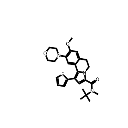 COc1cc2c(cc1N1CCOCC1)-c1c(-c3cccs3)cc(C(=O)N(C)C(C)(C)C)n1CC2